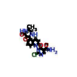 CC1CNc2c(oc3ccc4nc(Oc5nc(Cl)ncc5C(N)=O)ccc4c23)C(=O)N1